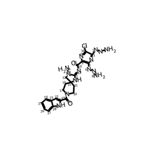 NN=Nc1nc(N=NN)c(C(=O)/N=C2/NC3(CCN(C(=O)c4cc5ccccc5[nH]4)CC3)CN2N)nc1Cl